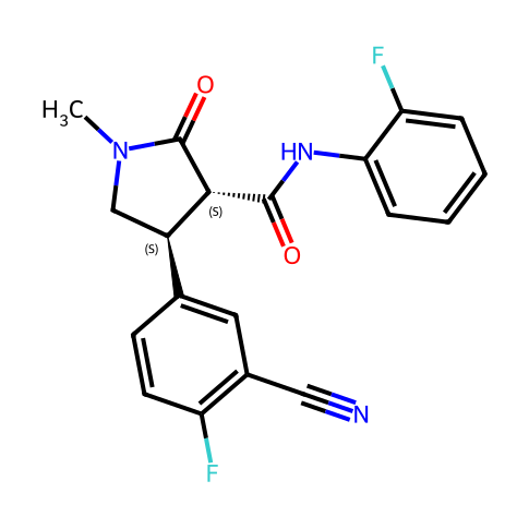 CN1C[C@H](c2ccc(F)c(C#N)c2)[C@@H](C(=O)Nc2ccccc2F)C1=O